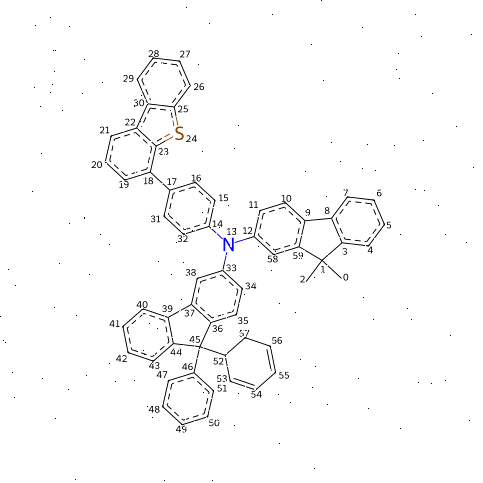 CC1(C)c2ccccc2-c2ccc(N(c3ccc(-c4cccc5c4sc4ccccc45)cc3)c3ccc4c(c3)-c3ccccc3C4(c3ccccc3)C3C=CC=CC3)cc21